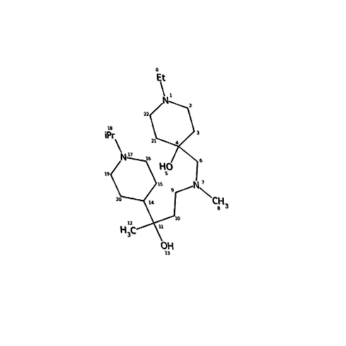 CCN1CCC(O)(CN(C)CCC(C)(O)C2CCN(C(C)C)CC2)CC1